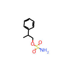 CC(COS(N)(=O)=O)c1ccccc1